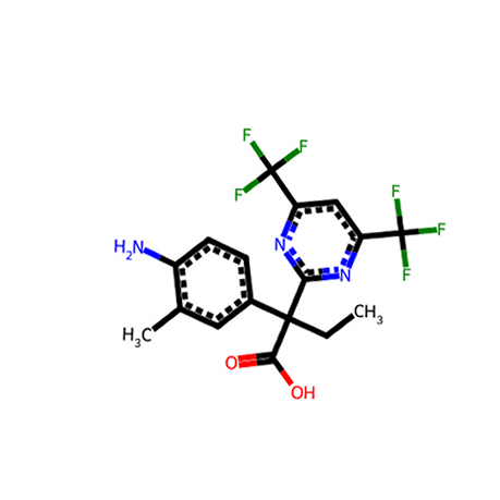 CCC(C(=O)O)(c1ccc(N)c(C)c1)c1nc(C(F)(F)F)cc(C(F)(F)F)n1